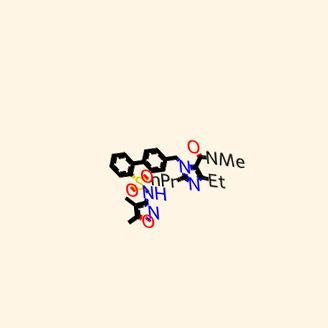 CCCc1nc(CC)c(C(=O)NC)n1Cc1ccc(-c2ccccc2S(=O)(=O)Nc2noc(C)c2C)cc1